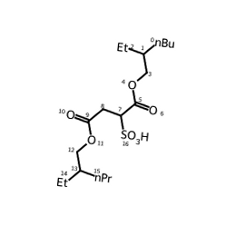 CCCCC(CC)COC(=O)C(CC(=O)OCC(CC)CCC)S(=O)(=O)O